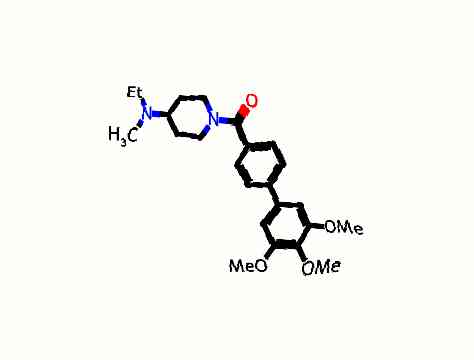 CCN(C)C1CCN(C(=O)c2ccc(-c3cc(OC)c(OC)c(OC)c3)cc2)CC1